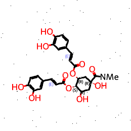 CNC(=O)[C@@]1(O)C[C@@H](O)[C@H](OC(=O)/C=C/c2ccc(O)c(O)c2)[C@H](OC(=O)/C=C/c2ccc(O)c(O)c2)C1